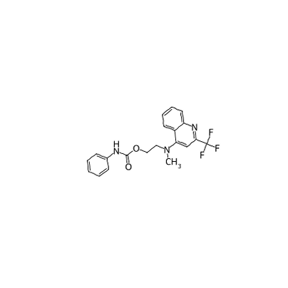 CN(CCOC(=O)Nc1ccccc1)c1cc(C(F)(F)F)nc2ccccc12